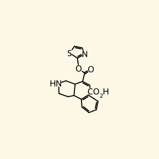 O=C(O)/C=C(/C(=O)Oc1nccs1)C1CNCCC1c1ccccc1